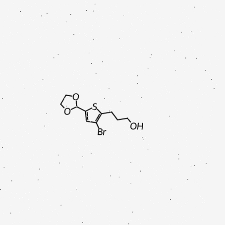 OCCCc1sc(C2OCCO2)cc1Br